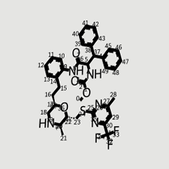 COC(=O)NC(C(=O)Nc1ccccc1CC[C@@H]1CN[C@H](C)[C@@H](CSc2nc(C)cc(C(F)(F)F)n2)O1)C(c1ccccc1)c1ccccc1